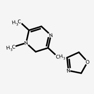 C1=NCOC1.CC1=CN=C(C)CN1C